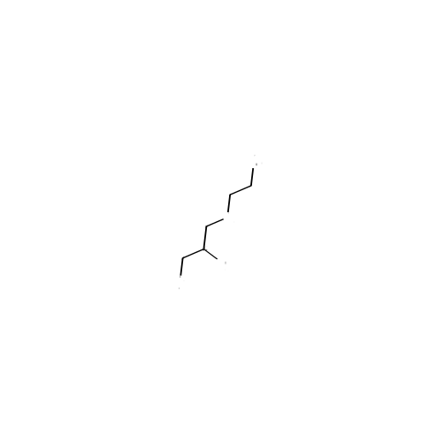 CCCCCCSCC(O)CO